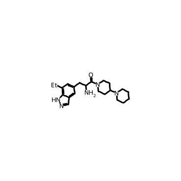 CCc1cc(CC(N)C(=O)N2CCC(N3CCCCC3)CC2)cc2cn[nH]c12